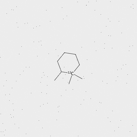 CC1CCCC[12C]1(C)C